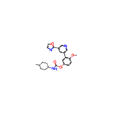 COc1ccc(OC(=O)NC2CCC(C)CC2)cc1-c1cncc(-c2ncco2)c1